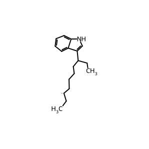 CC[CH]CCCCC(CC)c1c[nH]c2ccccc12